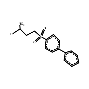 CCC(CCS(=O)(=O)c1ccc(-c2ccccc2)cc1)[N+](=O)[O-]